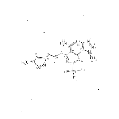 Cn1nnc(CSCc2nc(C(F)(F)F)cc(-c3nnnn3C)c2C(N)=S)n1